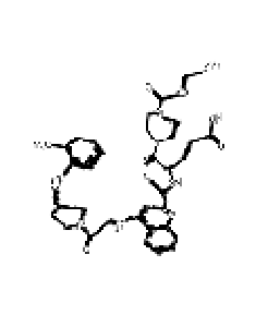 CCOC(=O)N1CCN(C(=O)C(CCC(=O)O)NC(=O)c2cc(OCC(=O)N3CCC(Oc4ccccc4C)C3)c3ccccc3n2)CC1